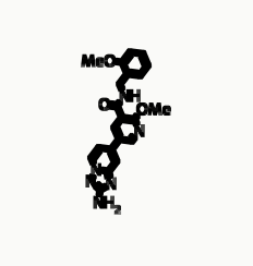 COc1ccccc1CNC(=O)c1cc(-c2ccn3nc(N)nc3c2)cnc1OC